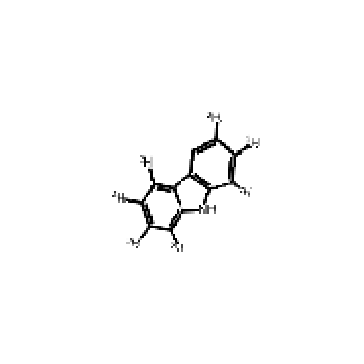 [2H]c1cc2c([nH]c3c([2H])c([2H])c([2H])c([2H])c32)c([2H])c1[2H]